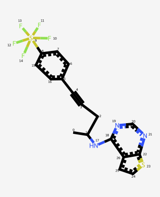 CC(CC#Cc1ccc(S(F)(F)(F)(F)F)cc1)Nc1ncnc2sccc12